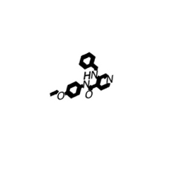 CCOc1ccc(NC(=O)c2ccncc2NCc2ccccc2)cc1